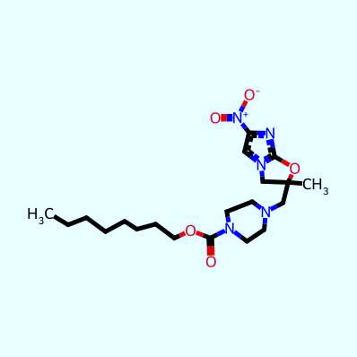 CCCCCCCCOC(=O)N1CCN(CC2(C)Cn3cc([N+](=O)[O-])nc3O2)CC1